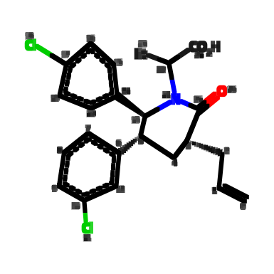 C=CC[C@@H]1C[C@H](c2cccc(Cl)c2)[C@@H](c2ccc(Cl)cc2)N(C(CC)C(=O)O)C1=O